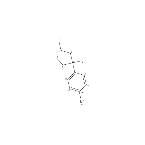 CCCC(C)(CC)c1ccc(Br)cc1